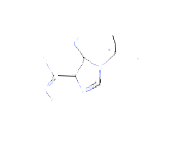 CCC(C)/N=C(/N)C1N=CN([C@H](C)C(C)(C)C)C1N